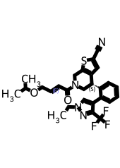 CCn1cc(-c2ccccc2[C@@H]2CN(C(=O)/C=C/COC(C)C)Cc3sc(C#N)cc32)c(C(F)(F)F)n1